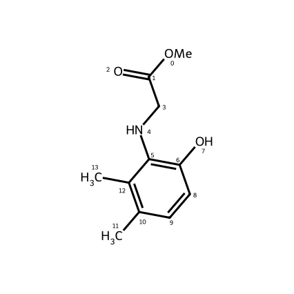 COC(=O)CNc1c(O)ccc(C)c1C